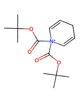 CC(C)(C)OC(=O)[N+]1(C(=O)OC(C)(C)C)C=CCC=C1